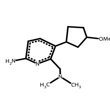 COC1CCC(c2ccc(N)nc2CN(C)C)C1